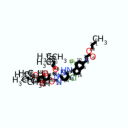 CCCCOC(=O)/C=C/c1cc(F)c2c(c1)CC[C@@H]2Nc1nc2c(cc1Cl)nc(O[C@@H]1CO[C@H]3[C@@H]1OC[C@H]3O[Si](C)(C)C(C)(C)C)n2COCC[Si](C)(C)C